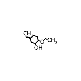 CC=C1CCC(OCC)C(O)C1